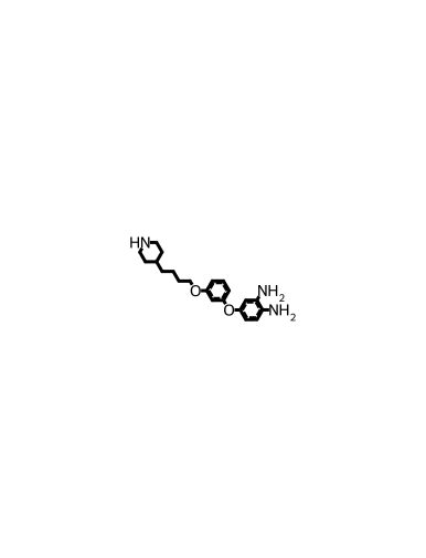 Nc1ccc(Oc2cccc(OCCCCC3CCNCC3)c2)cc1N